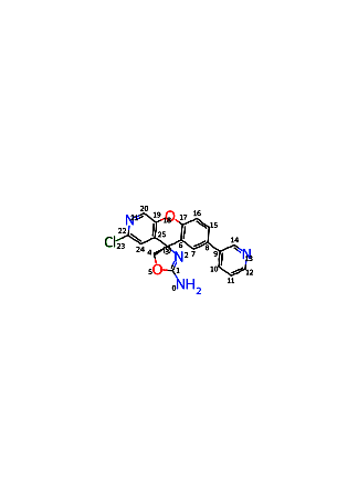 NC1=N[C@@]2(CO1)c1cc(-c3cccnc3)ccc1Oc1cnc(Cl)cc12